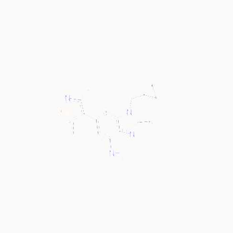 Cc1noc(C)c1-c1cc(N)c2nc(C)n(CC3CC3)c2c1